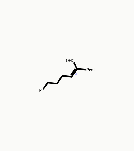 CCCC(C)/C(C=O)=C/CCCC(C)C